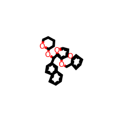 O=c1ccoc(C(OC2CCCCO2)c2ccc3ccccc3c2)c1OCc1ccccc1